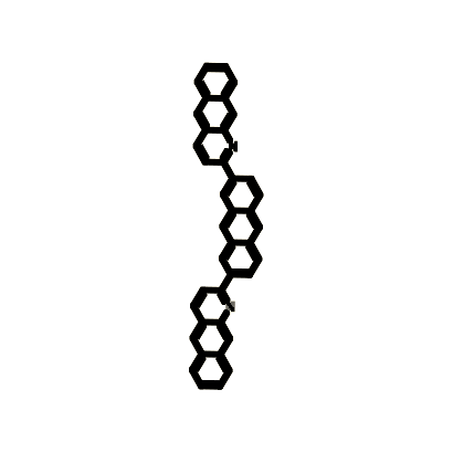 c1ccc2cc3nc(-c4ccc5cc6ccc(-c7ccc8cc9ccccc9cc8n7)cc6cc5c4)ccc3cc2c1